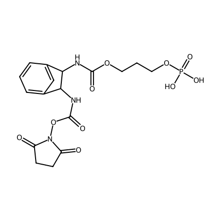 O=C(NC1c2cccc(c2)C1NC(=O)ON1C(=O)CCC1=O)OCCCOP(=O)(O)O